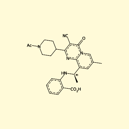 CC(=O)N1CCC(c2nc3c([C@@H](C)Nc4ccccc4C(=O)O)cc(C)cn3c(=O)c2C#N)CC1